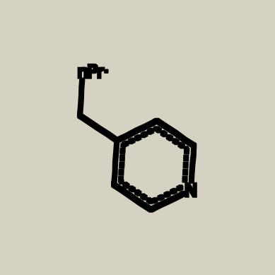 CC[CH]Cc1ccncc1